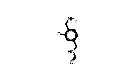 NCc1ccc(CNC=O)cc1F